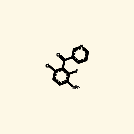 CC[CH]c1ccc(Cl)c(C(=O)c2cccnc2)c1F